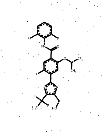 CC(Oc1cc(-c2nc(CO)c(C(C)(F)F)s2)c(F)cc1C(=O)Nc1c(F)cccc1Cl)C(F)(F)F